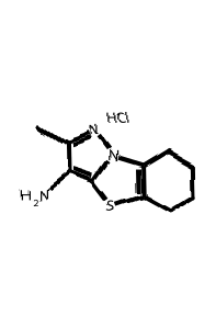 Cc1nn2c3c(sc2c1N)CCCC3.Cl